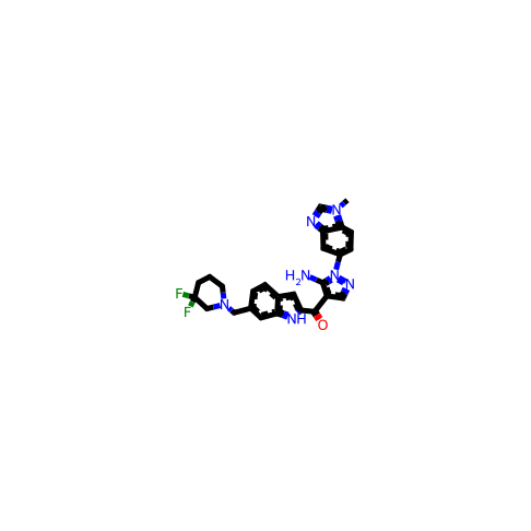 Cn1cnc2cc(-n3ncc(C(=O)c4cc5ccc(CN6CCCC(F)(F)C6)cc5[nH]4)c3N)ccc21